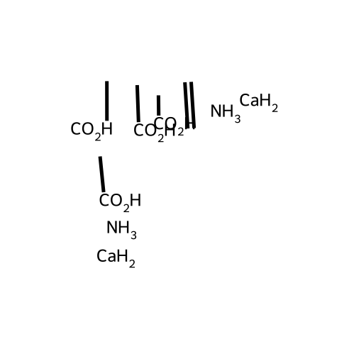 C=C.CC(=O)O.CC(=O)O.CC(=O)O.CC(=O)O.N.N.[CaH2].[CaH2]